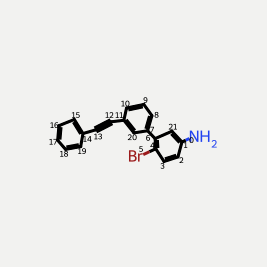 Nc1ccc(Br)c(-c2cccc(C#Cc3ccccc3)c2)c1